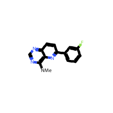 CNc1ncnc2ccc(-c3cccc(F)c3)nc12